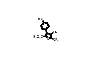 CCOC(=O)c1sc(C(F)(F)F)c(C#N)c1-c1ccc(C(C)(C)C)cc1